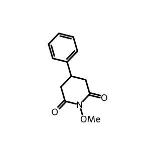 CON1C(=O)CC(c2ccccc2)CC1=O